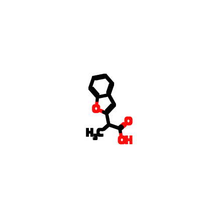 CC(C(=O)O)c1cc2ccccc2o1